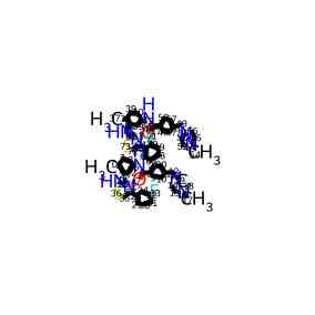 Cc1ccc(NC(=O)c2ccc(CN3CCN(C)CC3)cc2)cc1Nc1nc(-c2cccc(F)c2)cs1.Cc1ccc(NC(=O)c2ccc(CN3CCN(C)CC3)cc2)cc1Nc1nc(-c2ccccc2F)cs1